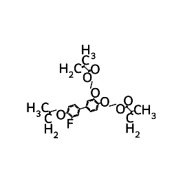 C=C(C)COc1ccc(-c2ccc(OCCOC(=O)C(=C)C)c(OCCOC(=O)C(=C)C)c2)cc1F